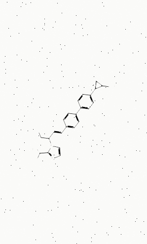 CC(=O)OC1CC1c1ccc(-c2ccc(/C=C/C(CO)n3ccnc3[C@H](C)O)cc2)cc1